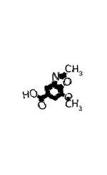 COc1cc(C(=O)O)cc2nc(C)oc12